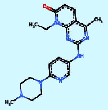 CCn1c(=O)ccc2c(C)nc(Nc3ccc(N4CCN(C)CC4)nc3)nc21